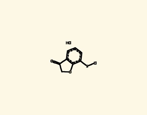 Cl.O=C1COc2c(SCl)cccc21